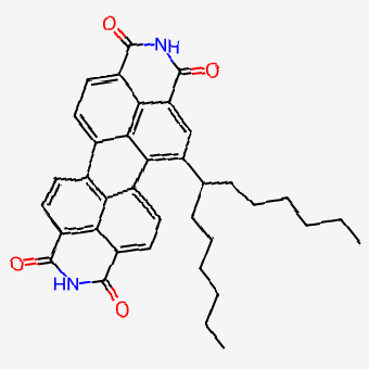 CCCCCCC(CCCCCC)c1cc2c3c(ccc4c5ccc6c7c(ccc(c1c34)c75)C(=O)NC6=O)C(=O)NC2=O